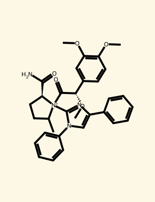 COc1ccc([C@H](OC)C(=O)[N+]2(c3nc(-c4ccccc4)cn3-c3ccccc3)C(C)CC[C@H]2C(N)=O)cc1OC